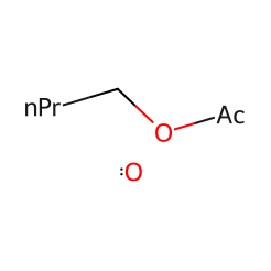 CCCCOC(C)=O.[O]